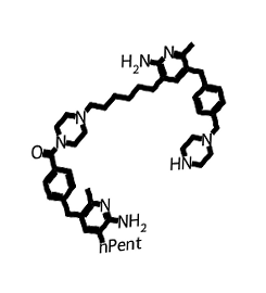 CCCCCc1cc(Cc2ccc(C(=O)N3CCN(CCCCCCc4cc(Cc5ccc(CN6CCNCC6)cc5)c(C)nc4N)CC3)cc2)c(C)nc1N